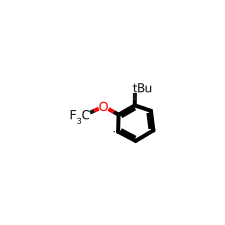 CC(C)(C)c1ccc[c]c1OC(F)(F)F